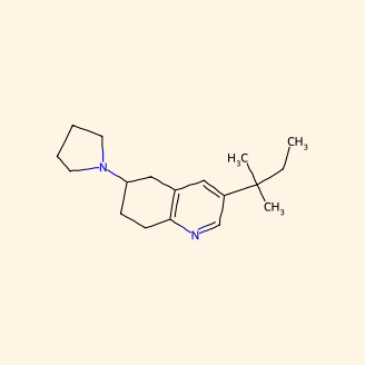 CCC(C)(C)c1cnc2c(c1)CC(N1CCCC1)CC2